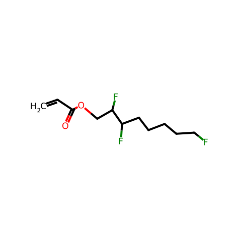 C=CC(=O)OCC(F)C(F)CCCCCF